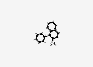 Cc1ccc2ccccc2c1-c1c[c]ccc1